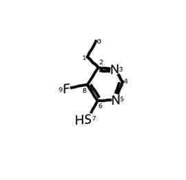 CCc1ncnc(S)c1F